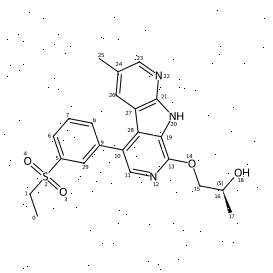 CCS(=O)(=O)c1cccc(-c2cnc(OC[C@H](C)O)c3[nH]c4ncc(C)cc4c23)c1